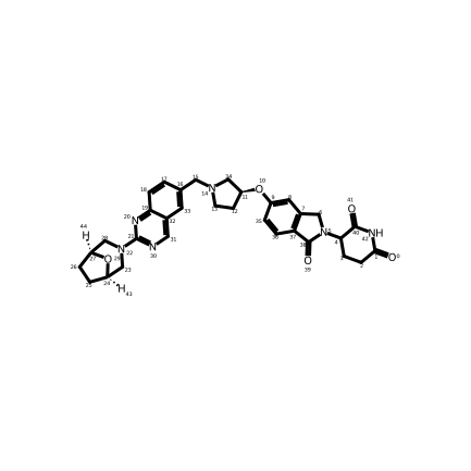 O=C1CCC(N2Cc3cc(O[C@H]4CCN(Cc5ccc6nc(N7C[C@H]8CC[C@@H](C7)O8)ncc6c5)C4)ccc3C2=O)C(=O)N1